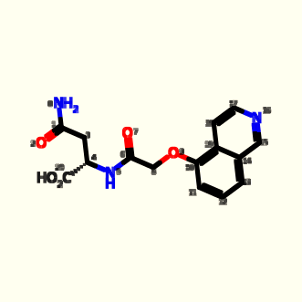 NC(=O)C[C@H](NC(=O)COc1cccc2cnccc12)C(=O)O